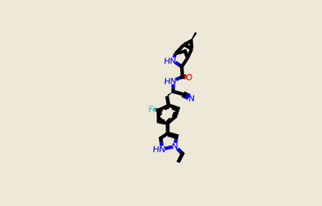 CCN1C=C(c2ccc(C[C@@H](C#N)NC(=O)C3NC4CC3C3C4[C@H]3C)c(F)c2)CN1